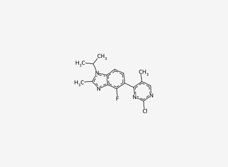 Cc1cnc(Cl)nc1-c1ccc2c(nc(C)n2C(C)C)c1F